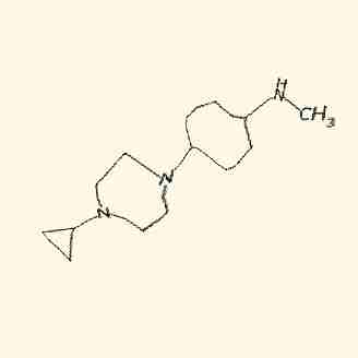 CNC1CCC(N2CCN(C3CC3)CC2)CC1